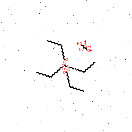 CCCCCCCC/C=C\CCCCCCCC(=O)OC[C@H](OC(=O)CCCCCCC/C=C\CCCCCCCC)[C@@H](COC(=O)CCCCCCC/C=C\CCCCCCCC)OC(=O)CCCCCCC/C=C\CCCCCCCC.OC[C@@H](O)[C@H](O)[C@@H](O)CO